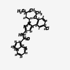 COc1ccc(Cl)cc1-c1cc(NC(=O)c2cnn3cccnc23)nn1CCC(C)C